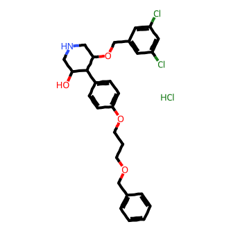 Cl.OC1CNCC(OCc2cc(Cl)cc(Cl)c2)C1c1ccc(OCCCOCc2ccccc2)cc1